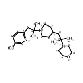 CC(C)(C)c1ccc(CC(C)(C)N2CCC(CC(C)(C)N3CCOCC3)CC2)nc1